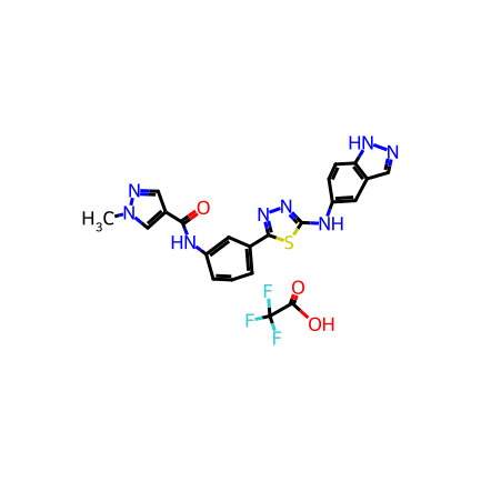 Cn1cc(C(=O)Nc2cccc(-c3nnc(Nc4ccc5[nH]ncc5c4)s3)c2)cn1.O=C(O)C(F)(F)F